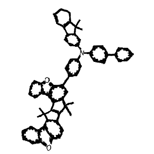 CC1(C)C2=C(C=CCC2)c2ccc(N(c3ccc(-c4ccccc4)cc3)c3ccc(-c4cc5c(c6c4oc4ccccc46)C4=C(c6ccc7oc8ccccc8c7c6C4(C)C)C5(C)C)cc3)cc21